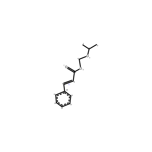 CC(C)OCOC(=O)/C=C/c1ccccc1